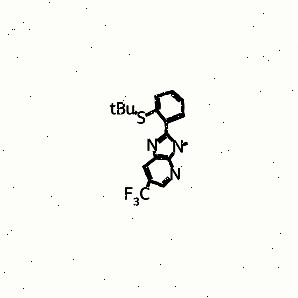 Cn1c(-c2ccccc2SC(C)(C)C)nc2cc(C(F)(F)F)cnc21